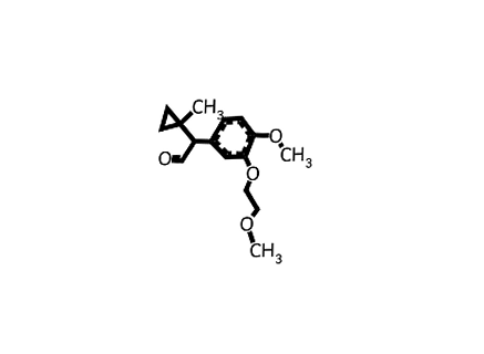 COCCOc1cc(C(C=O)C2(C)CC2)ccc1OC